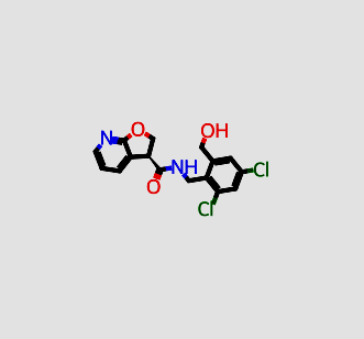 O=C(NCc1c(Cl)cc(Cl)cc1CO)[C@@H]1COc2ncccc21